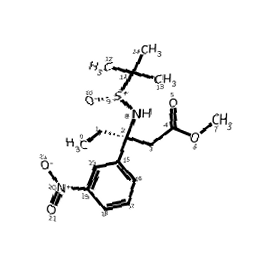 CC[C@@](CC(=O)OC)(N[S@+]([O-])C(C)(C)C)c1cccc([N+](=O)[O-])c1